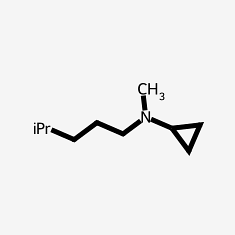 CC(C)CCCN(C)C1CC1